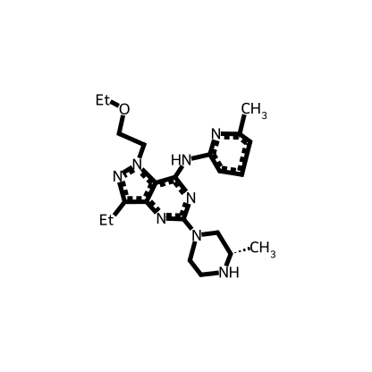 CCOCCn1nc(CC)c2nc(N3CCN[C@@H](C)C3)nc(Nc3cccc(C)n3)c21